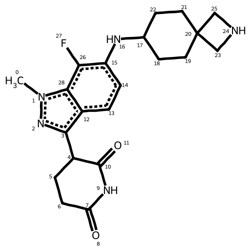 Cn1nc(C2CCC(=O)NC2=O)c2ccc(NC3CCC4(CC3)CNC4)c(F)c21